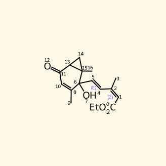 CCOC(=O)/C=C(C)\C=C\C1(O)C(C)=CC(=O)C2CC21C